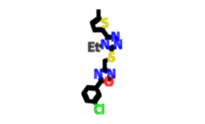 CCn1c(SCc2noc(-c3cccc(Cl)c3)n2)nnc1-c1ccc(C)s1